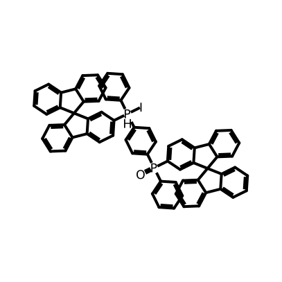 O=P(c1ccccc1)(c1ccc([PH](I)(c2ccccc2)c2ccc3c(c2)C2(c4ccccc4-c4ccccc42)c2ccccc2-3)cc1)c1ccc2c(c1)C1(c3ccccc3-c3ccccc31)c1ccccc1-2